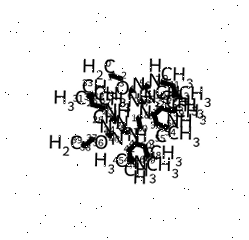 C=CCOc1nc(NC(C)(C)CC(C)(C)C)nc(N(CCN(c2nc(NC(C)(C)CC(C)(C)C)nc(OCC=C)n2)C2CC(C)(C)NC(C)(C)C2)C2CC(C)(C)NC(C)(C)C2)n1